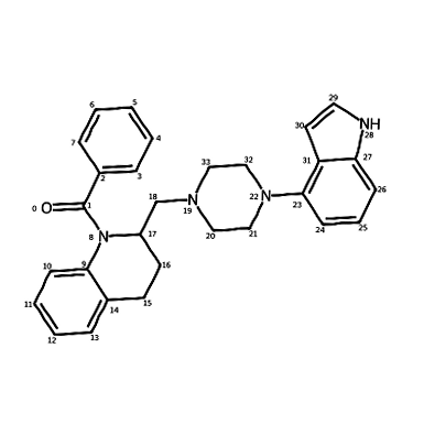 O=C(c1ccccc1)N1c2ccccc2CCC1CN1CCN(c2cccc3[nH]ccc23)CC1